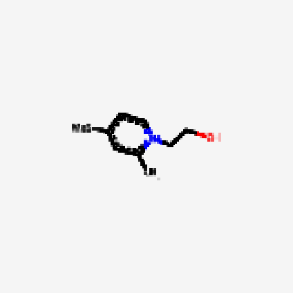 [CH2]Sc1cc[n+](CCO)c(C)c1